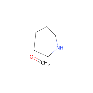 C1CCNCC1.C=O